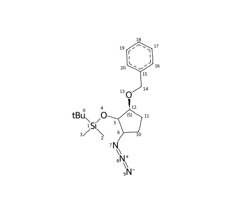 CC(C)(C)[Si](C)(C)OC1C(N=[N+]=[N-])CC[C@@H]1OCc1ccccc1